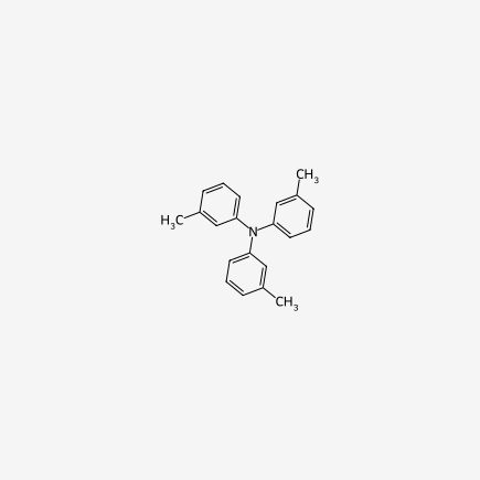 Cc1cccc(N(c2cccc(C)c2)c2cccc(C)c2)c1